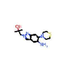 CC(C)(O)Cn1cc2cc(N)c(N3CCSCC3)cc2n1